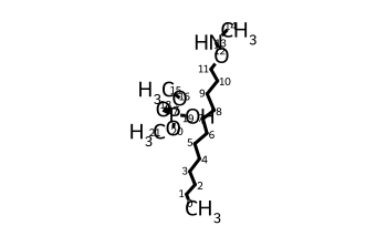 CCCCCCCCCCCCONC.COP(=O)(O)OC